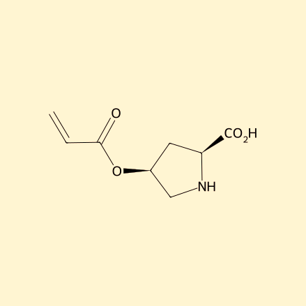 C=CC(=O)O[C@@H]1CN[C@H](C(=O)O)C1